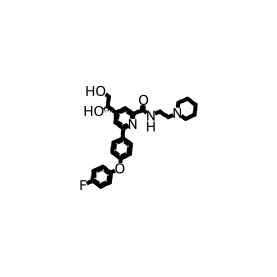 O=C(NCCN1CCCCC1)c1cc([C@H](O)CO)cc(-c2ccc(Oc3ccc(F)cc3)cc2)n1